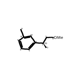 COC[C@@H](C)c1cccc(C)c1